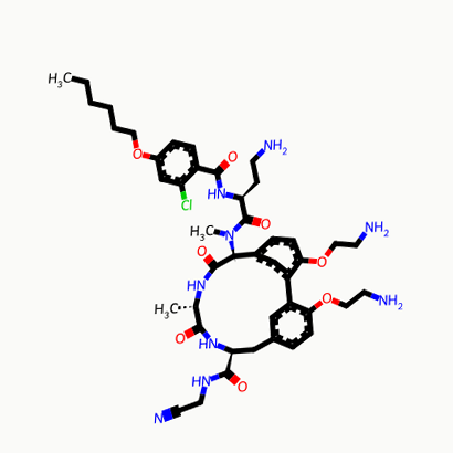 CCCCCCOc1ccc(C(=O)N[C@@H](CCN)C(=O)N(C)[C@@H]2C(=O)N[C@@H](C)C(=O)N[C@H](C(=O)NCC#N)Cc3ccc(OCCN)c(c3)-c3cc2ccc3OCCN)c(Cl)c1